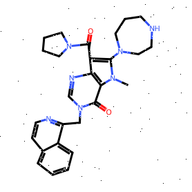 Cn1c(N2CCCNCC2)c(C(=O)N2CCCC2)c2ncn(Cc3nccc4ccccc34)c(=O)c21